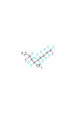 FC(F)(F)C(F)(I)C(F)(F)C(F)(C(F)(F)F)C(F)(F)C(F)(F)C(F)(F)C(F)(F)C(F)(F)I